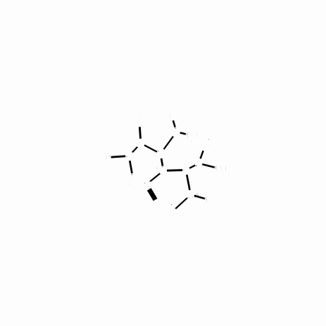 PP(P)P(P)P(P(P)P)P(N=S)P(P(P)P)P(P)P